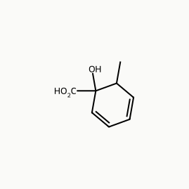 CC1C=CC=CC1(O)C(=O)O